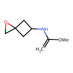 C=C(NC1CC2(CO2)C1)OC